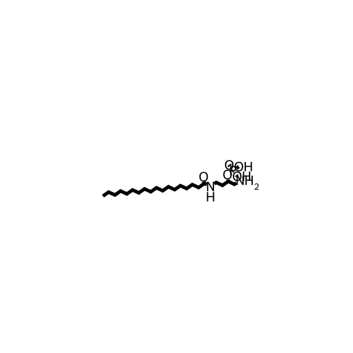 CCCCCCCCCCCCCCCCCC(=O)NCCC(CN)OP(=O)(O)O